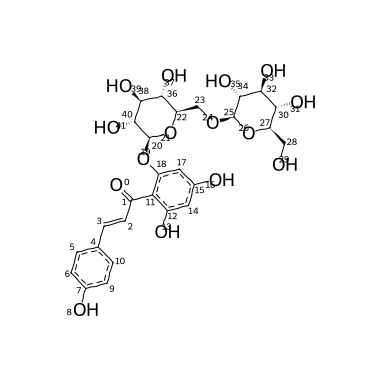 O=C(/C=C/c1ccc(O)cc1)c1c(O)cc(O)cc1O[C@@H]1O[C@H](CO[C@@H]2O[C@H](CO)[C@@H](O)[C@H](O)[C@H]2O)[C@@H](O)[C@H](O)[C@H]1O